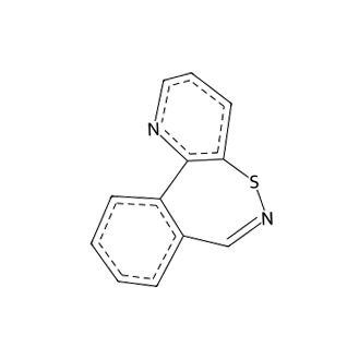 C1=NSc2cccnc2-c2ccccc21